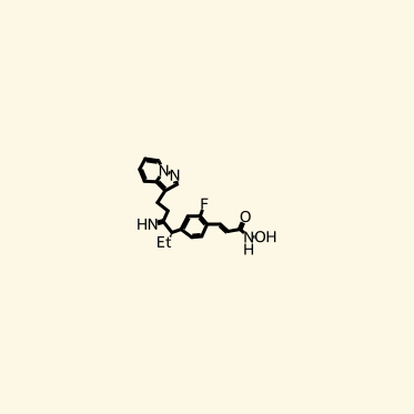 CC[C@H](C(=N)CCc1cnn2ccccc12)c1ccc(/C=C/C(=O)NO)c(F)c1